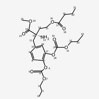 CCCOC(=O)Oc1ccc(C[C@](N)(CCOC(=O)CCC)C(=O)OC)cc1OC(=O)OCCC